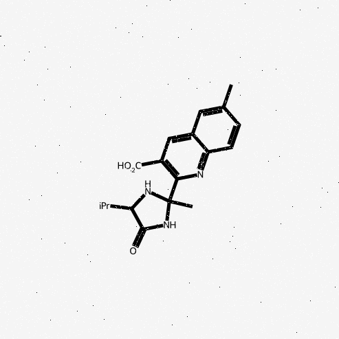 Cc1ccc2nc(C3(C)NC(=O)C(C(C)C)N3)c(C(=O)O)cc2c1